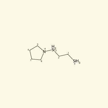 [SiH3]CC[SiH2]N1CCCC1